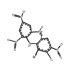 O=[N+]([O-])c1cc([N+](=O)[O-])c(Nc2c(Br)cc([N+](=O)[O-])c(Cl)c2Br)c([N+](=O)[O-])c1